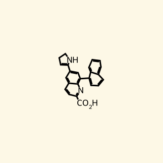 O=C(O)c1ccc2cc(C3=CCCN3)cc(-c3cccc4ccccc34)c2n1